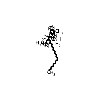 C=C(CCCCCCC/C=C\CCCCCCCC)CCC(Cc1cncn1C)C(CC)C(=C)N1CCN/C1=N/c1ccc2nccnc2c1C